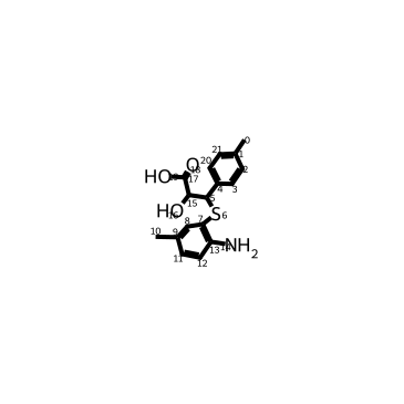 Cc1ccc(C(Sc2cc(C)ccc2N)C(O)C(=O)O)cc1